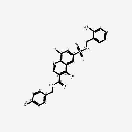 Nc1ccccc1CNS(=O)(=O)c1cc(F)c2ncc(C(=O)NCc3ccc(Cl)cc3)c(O)c2c1